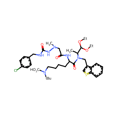 CCOC(OCC)C(C)N(Cc1csc2ccccc12)C(=O)C(CCCCN(C(=O)O)C(C)(C)C)NC(=O)CN(C)NC(=O)NCc1ccc(Cl)cc1